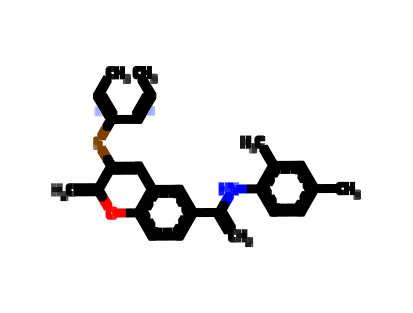 C=C1Oc2ccc(C(=C)Nc3ccc(C)cc3C)cc2C=C1SC(/C=C\C)=C/C